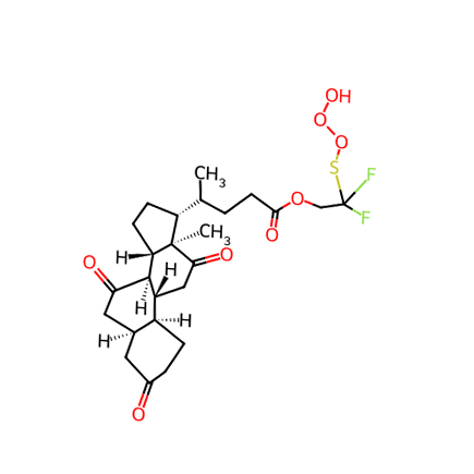 CC(CCC(=O)OCC(F)(F)SOOO)[C@H]1CC[C@H]2[C@@H]3C(=O)C[C@@H]4CC(=O)CC[C@@H]4[C@H]3CC(=O)[C@]12C